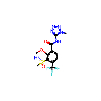 COc1c(C(=O)Nc2nnnn2C)ccc(C(F)(F)F)c1S(C)(=N)=O